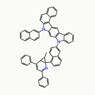 CC1C2C(c3ccccc3)=CC(c3ccccc3)=NC12c1cccc2cc(-n3c4ccccc4c4cc5c6c7ccccc7ccc6n(-c6ccc7ccccc7c6)c5cc43)ccc12